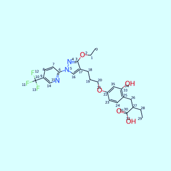 CCOc1nn(-c2ccc(C(F)(F)F)cn2)cc1CCCOc1ccc(CC(CC)C(=O)O)c(O)c1